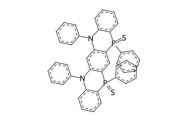 S=P1(c2ccccc2)c2ccccc2N(c2ccccc2)c2cc3c(cc21)P(=S)(c1ccccc1)c1ccccc1N3c1ccccc1